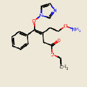 CCOC(=O)CC(CCON)=C(On1ccnc1)c1ccccc1